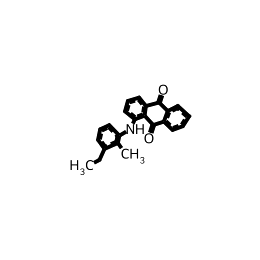 CCc1cccc(Nc2cccc3c2C(=O)c2ccccc2C3=O)c1C